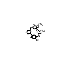 CN(Cc1cncc(-c2ccc(Cl)c(OC(F)F)c2)n1)CC1(OC=O)CN(C)C1